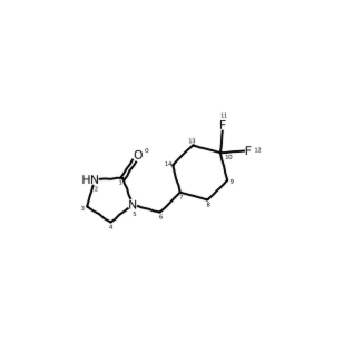 O=C1NCCN1CC1CCC(F)(F)CC1